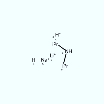 CC(C)NC(C)C.[H-].[H-].[Li+].[Na+]